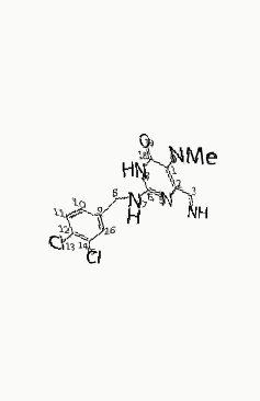 CNc1c(C=N)nc(NCc2ccc(Cl)c(Cl)c2)[nH]c1=O